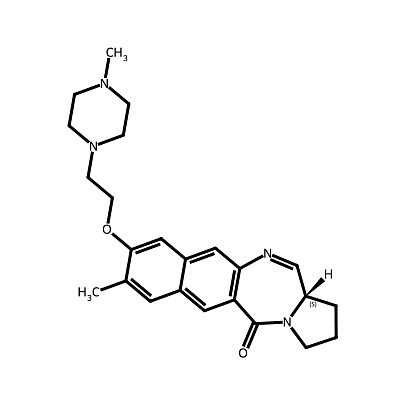 Cc1cc2cc3c(cc2cc1OCCN1CCN(C)CC1)N=C[C@@H]1CCCN1C3=O